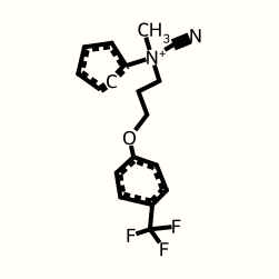 C[N+](C#N)(CCCOc1ccc(C(F)(F)F)cc1)c1ccccc1